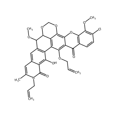 C=CCOc1c2c3c(c4oc5c(OC)c(Cl)ccc5c(=O)c14)OCOC3C(OC)c1cc3cc(C)n(CC=C)c(=O)c3c(O)c1-2